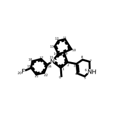 Cc1c(C2=CCNCC2)c2ccccc2n1-c1ccc(F)cc1